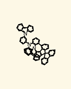 c1ccc(-c2cccc(N(c3cccc(-n4c5ccccc5c5ccccc54)c3)c3cccc4c3-n3c5ccccc5c5ccc6c(c53)-c3c-4cccc3C63c4ccccc4-c4ccccc43)c2)cc1